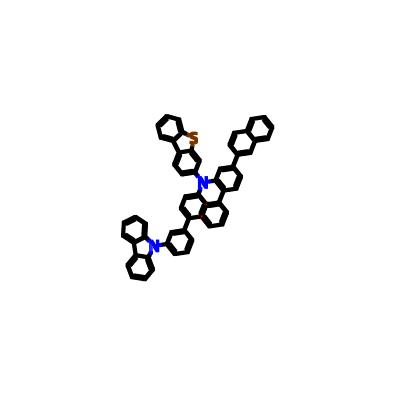 c1ccc(-c2ccc(-c3ccc4ccccc4c3)cc2N(c2ccc(-c3cccc(-n4c5ccccc5c5ccccc54)c3)cc2)c2ccc3c(c2)sc2ccccc23)cc1